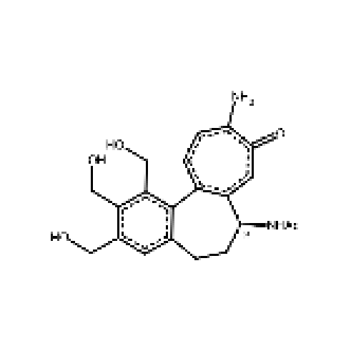 CC(=O)N[C@H]1CCc2cc(CO)c(CO)c(CO)c2-c2ccc(N)c(=O)cc21